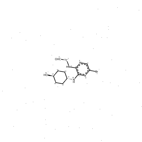 O=[13CH][13CH2]Nc1ncc(Br)nc1N[C@H]1CC[C@H](O)CC1